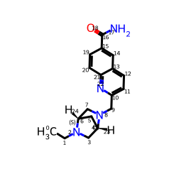 CCN1C[C@@H]2C[C@H]1CN2Cc1ccc2cc(C(N)=O)ccc2n1